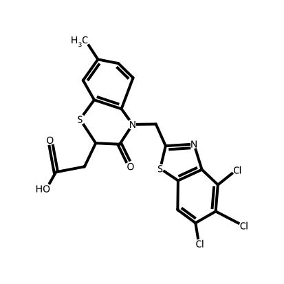 Cc1ccc2c(c1)SC(CC(=O)O)C(=O)N2Cc1nc2c(Cl)c(Cl)c(Cl)cc2s1